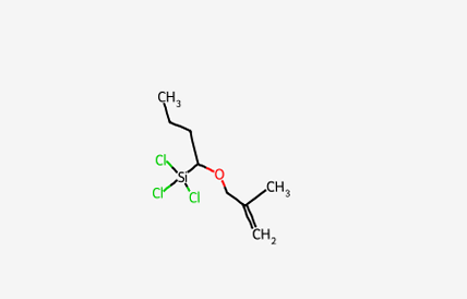 C=C(C)COC(CCC)[Si](Cl)(Cl)Cl